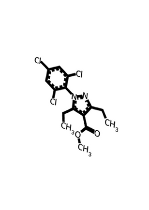 CCc1nn(-c2c(Cl)cc(Cl)cc2Cl)c(CC)c1C(=O)OC